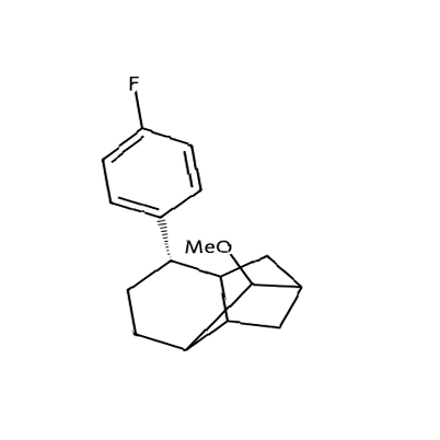 COC1C2CC3C1CC[C@H](c1ccc(F)cc1)C3C2